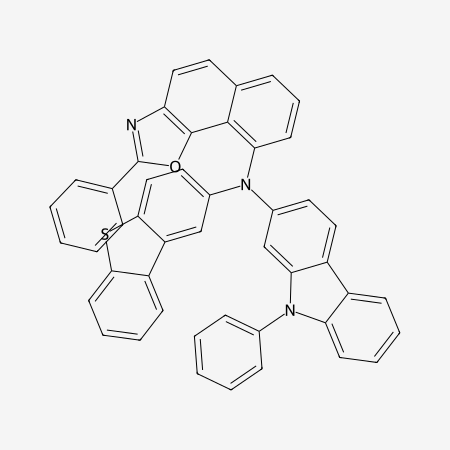 c1ccc(-c2nc3ccc4cccc(N(c5ccc6sc7ccccc7c6c5)c5ccc6c7ccccc7n(-c7ccccc7)c6c5)c4c3o2)cc1